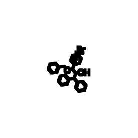 OC(C(c1ccccc1)c1ccccc1)C(OCc1ccccc1)C12CC[N+](Br)(CC1)CC2